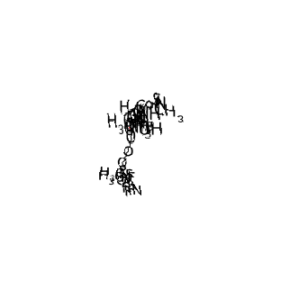 Cc1ncsc1-c1ccc([C@H](C)NC(=O)[C@@H]2C[C@@H](O)CN2C(=O)[C@@H](NC(=O)COCCCCOCCCCOc2ccc(N3C(=S)N(c4cc(C(F)(F)F)c(C#N)cc4F)C(=O)C3(C)C)cc2)C(C)(C)C)cc1